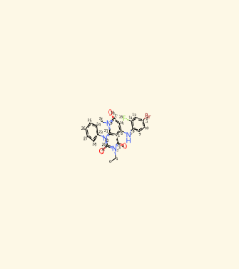 CCn1c(=O)c2c(Nc3ccc(Br)cc3F)cc(=O)n(C)c2n(-c2ccccc2)c1=O